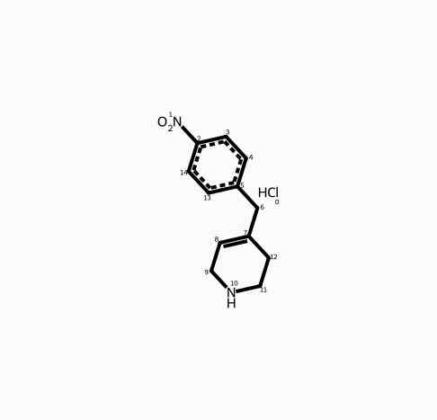 Cl.O=[N+]([O-])c1ccc(CC2=CCNCC2)cc1